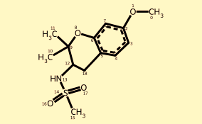 COc1ccc2c(c1)OC(C)(C)C(NS(C)(=O)=O)C2